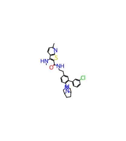 CNc1c(C(=O)NCCc2ccc(N3CC4CCC(C3)N4)c(-c3cccc(Cl)c3)c2)sc2nc(C)ccc12